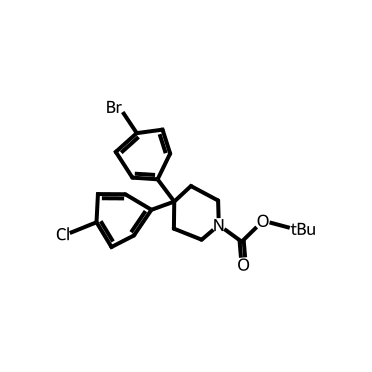 CC(C)(C)OC(=O)N1CCC(c2ccc(Cl)cc2)(c2ccc(Br)cc2)CC1